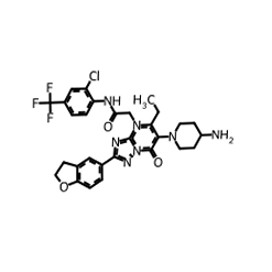 CCc1c(N2CCC(N)CC2)c(=O)n2nc(-c3ccc4c(c3)CCO4)nc2n1CC(=O)Nc1ccc(C(F)(F)F)cc1Cl